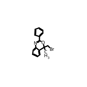 CC1(CBr)OC(c2ccccc2)=Nc2ccccc21